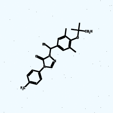 CCC(c1cc(C)c(OC(C)(C)C(=O)O)c(C)c1)n1ncn(-c2ccc(C(F)(F)F)cc2)c1=O